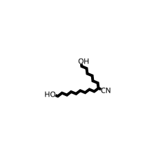 N#CC(CCCCCCO)CCCCCCCCCO